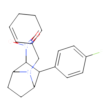 O=[N+]([O-])C1C(c2ccc(F)cc2)C2CCC1N2CC1=CCCC=C1